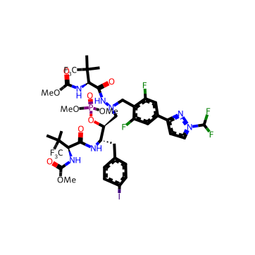 COC(=O)N[C@H](C(=O)N[C@@H](Cc1ccc(I)cc1)[C@H](CN(Cc1c(F)cc(-c2ccn(C(F)F)n2)cc1F)NC(=O)[C@@H](NC(=O)OC)C(C)(C)C(F)(F)F)OP(=O)(OC)OC)C(C)(C)C(F)(F)F